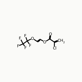 C=C(Cl)C(=O)OC=COC(F)(F)C(F)(F)F